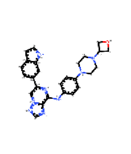 c1nc2c(Nc3ccc(N4CCN(C5COC5)CC4)cc3)nc(-c3ccc4cc[nH]c4c3)cn2n1